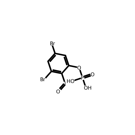 O=Ic1c(Br)cc(Br)cc1OP(=O)(O)O